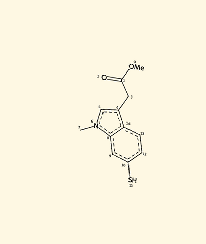 COC(=O)Cc1cn(C)c2cc(S)ccc12